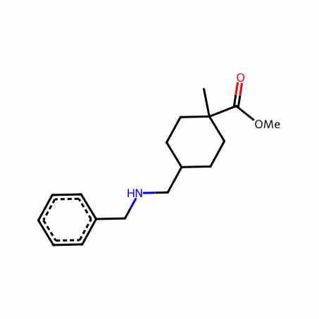 COC(=O)C1(C)CCC(CNCc2ccccc2)CC1